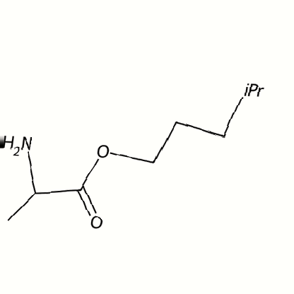 CC(C)CCCOC(=O)C(C)N